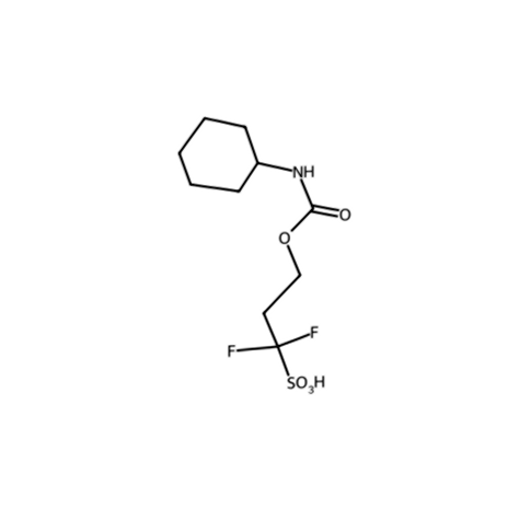 O=C(NC1CCCCC1)OCCC(F)(F)S(=O)(=O)O